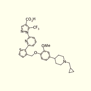 COc1cc(C2CCN(CC3CC3)CC2)ccc1OCc1ccsc1-c1cccc(-n2ncc(C(=O)O)c2C(F)(F)F)n1